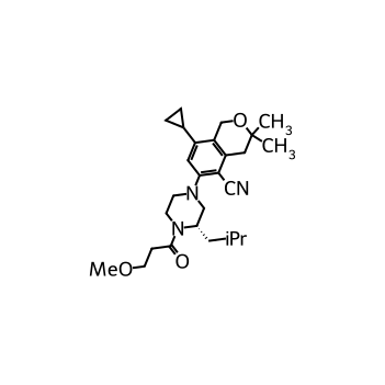 COCCC(=O)N1CCN(c2cc(C3CC3)c3c(c2C#N)CC(C)(C)OC3)C[C@@H]1CC(C)C